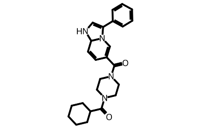 O=C(C1=CN2C(c3ccccc3)=CNC2C=C1)N1CCN(C(=O)C2CCCCC2)CC1